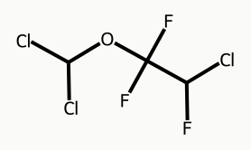 FC(Cl)C(F)(F)OC(Cl)Cl